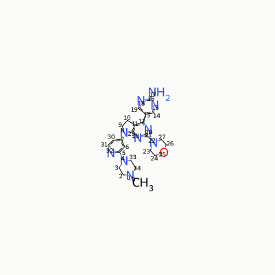 CN1CCN(c2cc(N3CCc4c(-c5cnc(N)nc5)nc(N5CCOCC5)nc43)ccn2)CC1